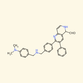 CN(C)c1ccc(CNCc2ccc(-c3nc4c(cc3-c3ccccc3)C(C=O)NC=C4)cc2)cc1